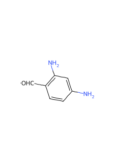 Nc1ccc([C]=O)c(N)c1